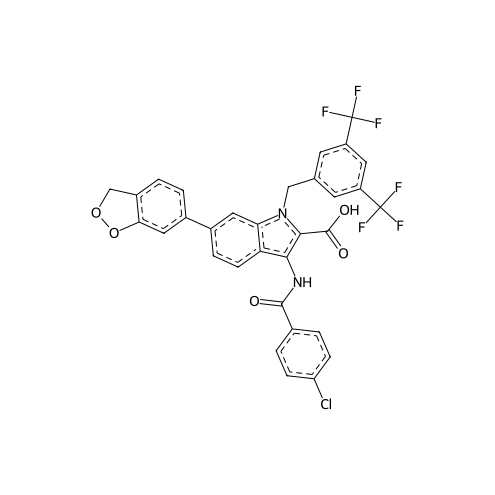 O=C(Nc1c(C(=O)O)n(Cc2cc(C(F)(F)F)cc(C(F)(F)F)c2)c2cc(-c3ccc4c(c3)OOC4)ccc12)c1ccc(Cl)cc1